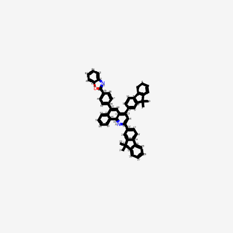 CC1(C)C2=C(CCC=C2)c2ccc(-c3cc(-c4ccc5c(c4)C(C)(C)c4ccccc4-5)nc4c3cc(-c3ccc(-c5nc6ccccc6o5)cc3)c3ccccc34)cc21